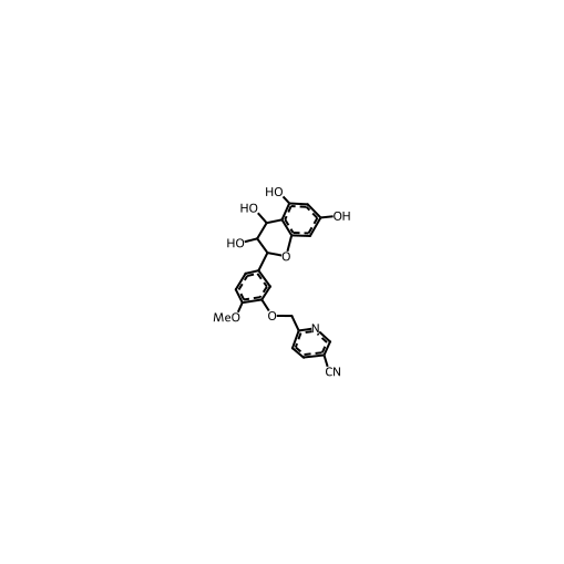 COc1ccc(C2Oc3cc(O)cc(O)c3C(O)C2O)cc1OCc1ccc(C#N)cn1